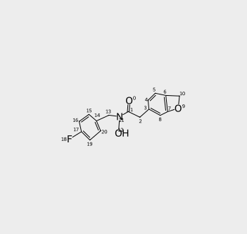 O=C(Cc1ccc2c(c1)OC2)N(O)Cc1ccc(F)cc1